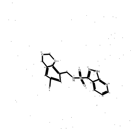 O=S(=O)(NCc1cc(F)cc2c1OCOC2)c1n[nH]c2ncccc12